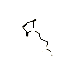 CCO[SiH2]CCCN1C(=O)C=CC1=O